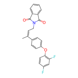 CC(=CCN1C(=O)c2ccccc2C1=O)c1ccc(Oc2ccc(F)cc2F)cc1